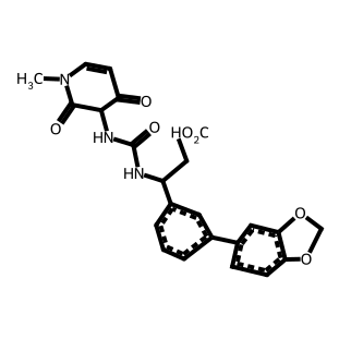 CN1C=CC(=O)C(NC(=O)NC(CC(=O)O)c2cccc(-c3ccc4c(c3)OCO4)c2)C1=O